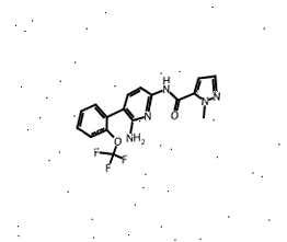 Cn1nccc1C(=O)Nc1ccc(-c2ccccc2OC(F)(F)F)c(N)n1